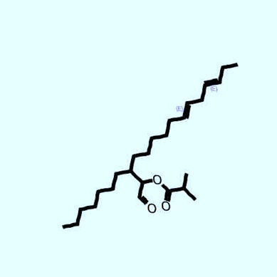 CC/C=C/C/C=C/CCCCCC(CCCCCCC)C(C=O)OC(=O)C(C)C